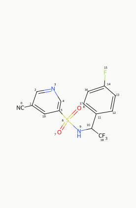 N#Cc1cncc(S(=O)(=O)NC(c2ccc(F)cc2)C(F)(F)F)c1